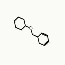 C1=CCC(COC2CCCCC2)C=C1